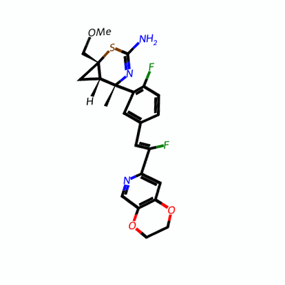 COC[C@]12C[C@H]1[C@@](C)(c1cc(/C=C(\F)c3cc4c(cn3)OCCO4)ccc1F)N=C(N)S2